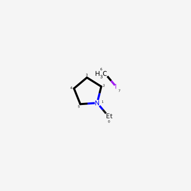 CCN1CCCC1.CI